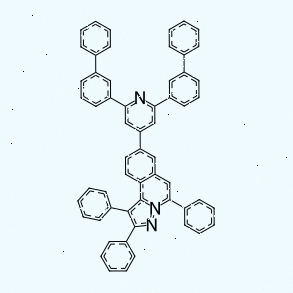 c1ccc(-c2cccc(-c3cc(-c4ccc5c(c4)cc(-c4ccccc4)n4nc(-c6ccccc6)c(-c6ccccc6)c54)cc(-c4cccc(-c5ccccc5)c4)n3)c2)cc1